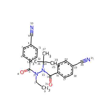 CCN(C(=O)c1ccc(C#N)cc1)N(C(=O)c1ccc(C#N)cc1)C(C)(C)C